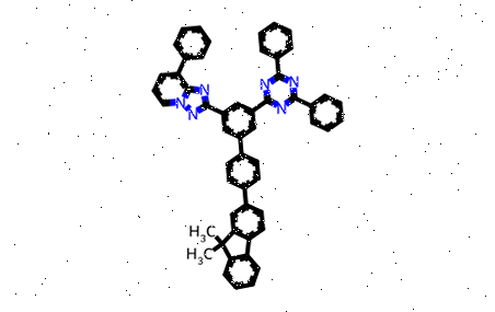 CC1(C)c2ccccc2-c2ccc(-c3ccc(-c4cc(-c5nc(-c6ccccc6)nc(-c6ccccc6)n5)cc(-c5nc6c(-c7ccccc7)cccn6n5)c4)cc3)cc21